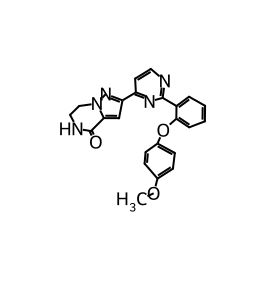 COc1ccc(Oc2ccccc2-c2nccc(-c3cc4n(n3)CCNC4=O)n2)cc1